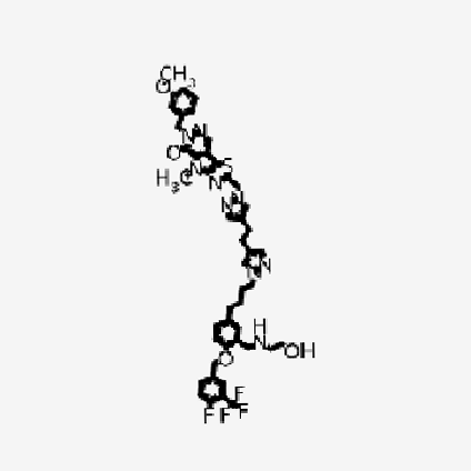 COc1cccc(Cn2ncc3c4sc(Cn5cc(CCc6cnn(CCCCc7ccc(OCc8ccc(F)c(C(F)(F)F)c8)c(CNCCO)c7)c6)cn5)nc4n(C)c3c2=O)c1